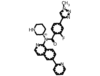 Cn1cc(-c2ccc(C(=O)N(c3nccc4cc(-c5ccccn5)ccc34)[C@@H]3CCCNC3)c(F)c2)nn1